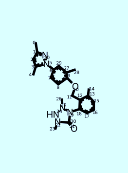 Cc1cc(C)n(-c2ccc(OCc3c(C)cccc3N3C(=O)N(C)NN3C)c(C)c2)n1